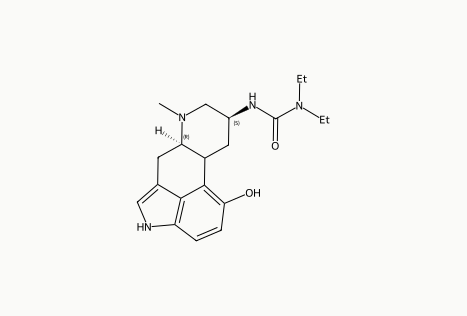 CCN(CC)C(=O)N[C@H]1CC2c3c(O)ccc4[nH]cc(c34)C[C@H]2N(C)C1